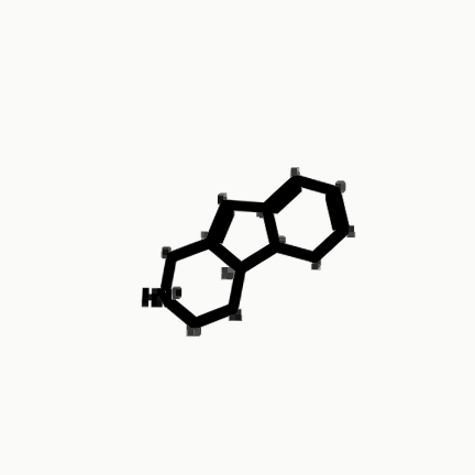 C1=CCC2C(=C1)C=C1CNCCC12